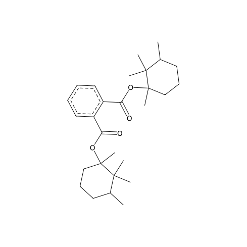 CC1CCCC(C)(OC(=O)c2ccccc2C(=O)OC2(C)CCCC(C)C2(C)C)C1(C)C